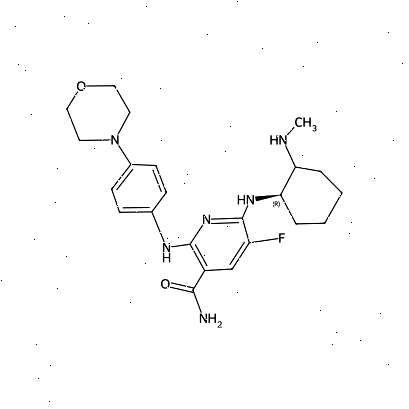 CNC1CCCC[C@H]1Nc1nc(Nc2ccc(N3CCOCC3)cc2)c(C(N)=O)cc1F